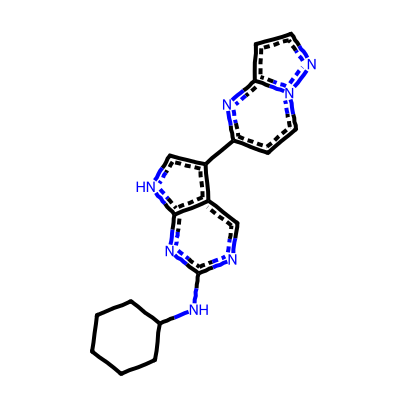 c1cc2nc(-c3c[nH]c4nc(NC5CCCCC5)ncc34)ccn2n1